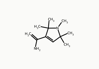 C=C(N)C1=CC(C)(C)N(C)C1(C)C